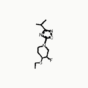 CCOC1CCN(c2nc(C(C)C)no2)CC1F